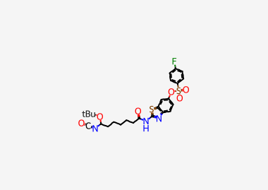 CC(C)(C)OC(CCCCCC(=O)Nc1nc2ccc(OS(=O)(=O)c3ccc(F)cc3)cc2s1)N=C=O